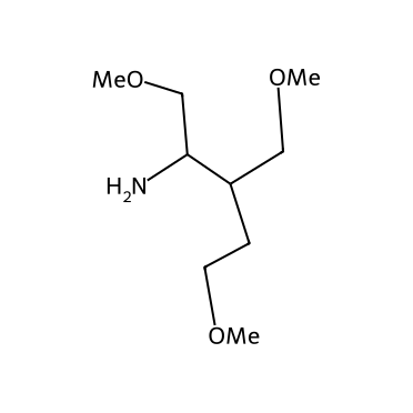 COCCC(COC)C(N)COC